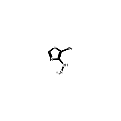 CC(C)c1scnc1BN